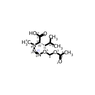 CC(=O)OCO/N=N\N(C)[C@@H](CC(C)C)C(=O)O